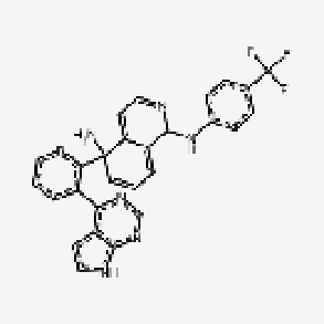 NC1(c2ncccc2-c2ncnc3[nH]ccc23)C=CC=C2C1=CC=NC2Nc1ccc(C(F)(F)F)cc1